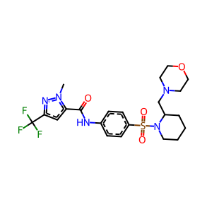 Cn1nc(C(F)(F)F)cc1C(=O)Nc1ccc(S(=O)(=O)N2CCCCC2CN2CCOCC2)cc1